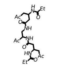 CCC(=O)NC(CC(C)=O)CC(=O)NCC(NC(=O)CC(CC(C)=O)NC(=O)CC)C(C)=O